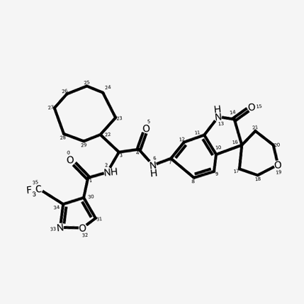 O=C(NC(C(=O)Nc1ccc2c(c1)NC(=O)C21CCOCC1)C1CCCCCCC1)c1conc1C(F)(F)F